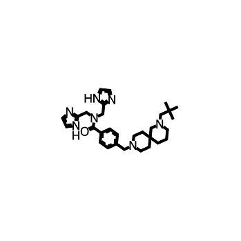 CC(C)(C)CN1CCCC2(CCN(Cc3ccc(C(=O)N(Cc4ncc[nH]4)Cc4ncc[nH]4)cc3)CC2)C1